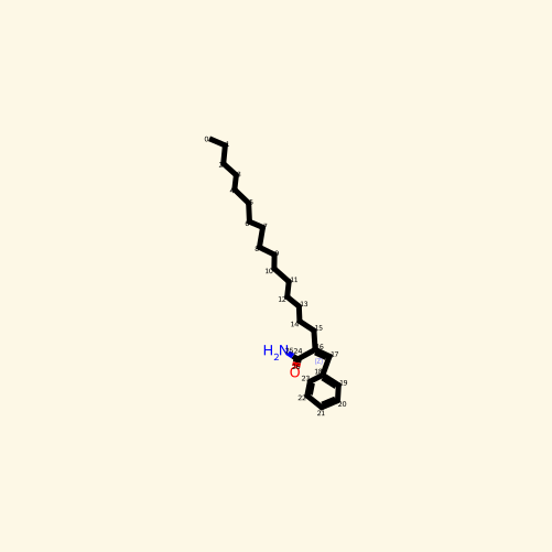 CCCCCCCCCCCCCCCC/C(=C/c1ccccc1)C(N)=O